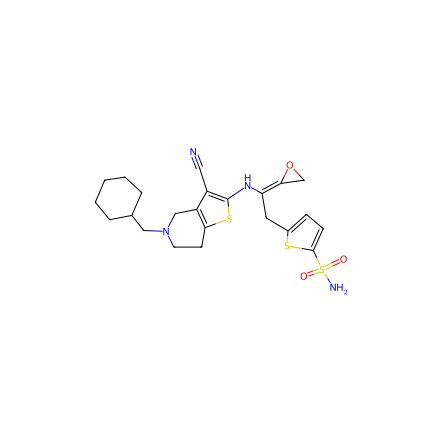 N#Cc1c(N/C(Cc2ccc(S(N)(=O)=O)s2)=C2/CO2)sc2c1CN(CC1CCCCC1)CC2